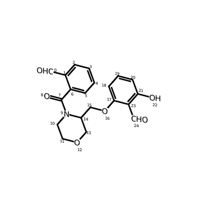 O=Cc1ccccc1C(=O)N1CCOCC1COc1cccc(O)c1C=O